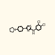 Clc1ccc(Nc2nc(-c3ccc(N4CCCC4)cc3)cs2)cc1Cl